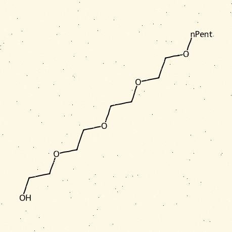 CCCCCOCCOCCOCCOCCO